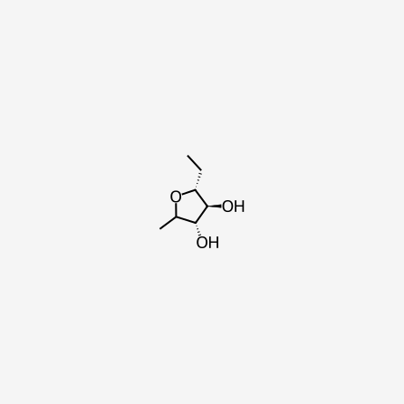 CC[C@H]1OC(C)[C@@H](O)[C@@H]1O